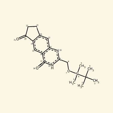 CC(C)(C)[Si](C)(C)OCc1nc2cc3c(cc2c(=O)[nH]1)C(=O)CC3